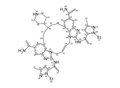 C=C(N)c1cc2c3c(c1)nc(NC(=C)c1cc(C)nn1CC)n3C/C=C/Cn1c(NC(=C)c3cc(C)nn3CC)nc3cc(C(=C)N)cc(c31)CCC(C1CCNCC1)CC2